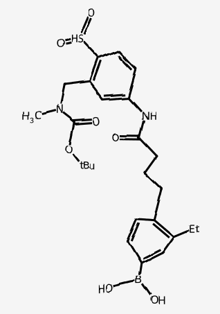 CCc1cc(B(O)O)ccc1CCCC(=O)Nc1ccc([SH](=O)=O)c(CN(C)C(=O)OC(C)(C)C)c1